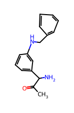 CC(=O)C(N)c1cccc(NCc2ccccc2)c1